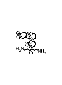 NCCCCCCN.O=P1([O-])OCCCCO1.O=P1([O-])OCCCCO1.O=P1([O-])OCCCCO1.[Ce+3]